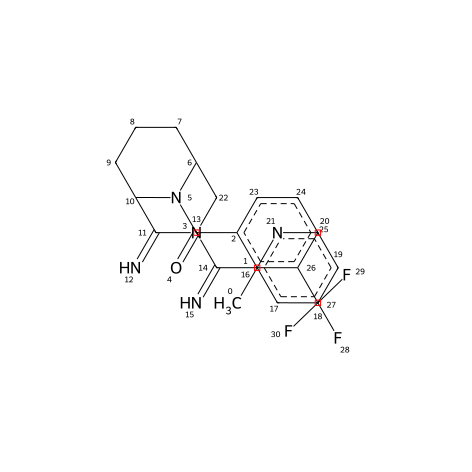 Cc1c(C(=O)N2C3CCCC2C(=N)N(C(=N)c2ccccn2)C3)cccc1C(F)(F)F